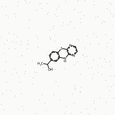 CC(O)c1ccc2c(c1)Nc1nccnc1S2